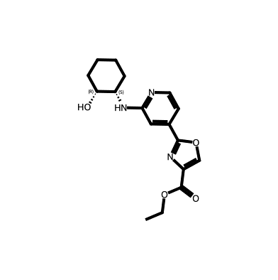 CCOC(=O)c1coc(-c2ccnc(N[C@H]3CCCC[C@H]3O)c2)n1